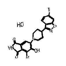 CCc1c(O)c(N2CCC(c3noc4cc(F)ccc34)CC2)cc2c1C(=O)NC2=O.Cl